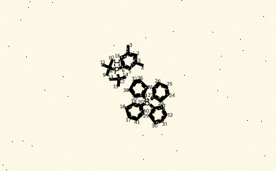 Cc1cc(C)cc([PH+](C(C)(C)C)C(C)(C)C)c1.c1ccc([B-](c2ccccc2)(c2ccccc2)c2ccccc2)cc1